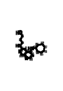 OCCCNc1cc2c(NC3CCCCCC3)ncnc2cn1